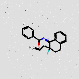 C=CCC1(F)CCc2ccccc2/C1=N/C(=O)c1ccccc1